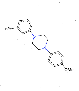 [CH2]CCc1cccc(N2CCN(c3ccc(OC)cc3)CC2)c1